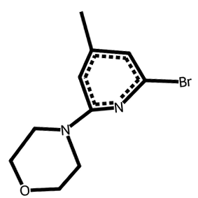 Cc1cc(Br)nc(N2CCOCC2)c1